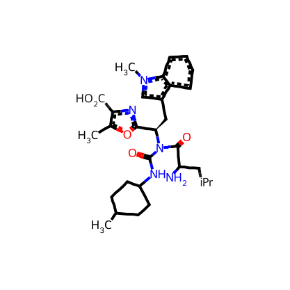 Cc1oc([C@@H](Cc2cn(C)c3ccccc23)N(C(=O)NC2CCC(C)CC2)C(=O)C(N)CC(C)C)nc1C(=O)O